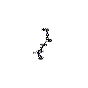 O=C(O)/C=C/c1ccc(-c2ccc(OCCCC(=O)NCCSSCCNC(=O)/C(Cc3ccc(O)c(Br)c3)=N\O)c(C34CC5CC(CC(C5)C3)C4)c2)cc1